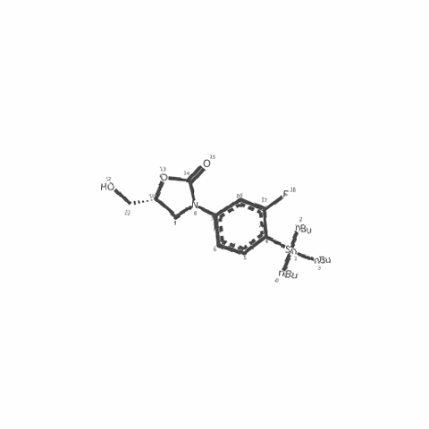 CCC[CH2][Sn]([CH2]CCC)([CH2]CCC)[c]1ccc(N2C[C@H](CO)OC2=O)cc1F